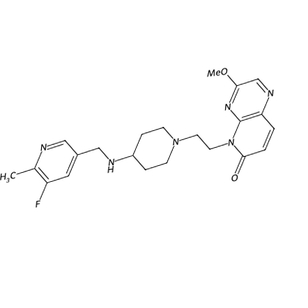 COc1cnc2ccc(=O)n(CCN3CCC(NCc4cnc(C)c(F)c4)CC3)c2n1